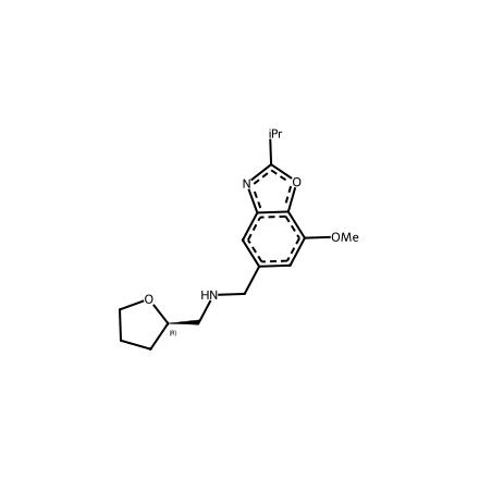 COc1cc(CNC[C@H]2CCCO2)cc2nc(C(C)C)oc12